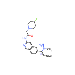 CN/C=C(/c1ccc2cnc(NC(=O)CN3CCC(F)CC3)cc2c1)N(C)N